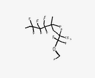 CC(F)(F)C(F)(F)C(F)(F)C(C)(F)CC(F)(C(F)(F)F)C(F)(F)OCF